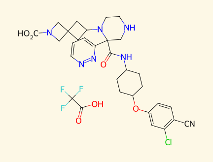 N#Cc1ccc(OC2CCC(NC(=O)C3(c4cccnn4)CNCCN3C3CC4(C3)CN(C(=O)O)C4)CC2)cc1Cl.O=C(O)C(F)(F)F